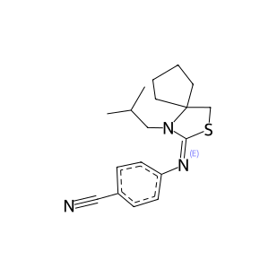 CC(C)CN1/C(=N\c2ccc(C#N)cc2)SCC12CCCC2